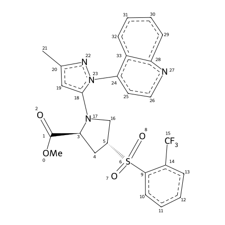 COC(=O)[C@@H]1C[C@@H](S(=O)(=O)c2ccccc2C(F)(F)F)CN1c1cc(C)nn1-c1ccnc2ccccc12